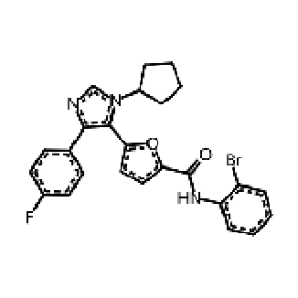 O=C(Nc1ccccc1Br)c1ccc(-c2c(-c3ccc(F)cc3)ncn2C2CCCC2)o1